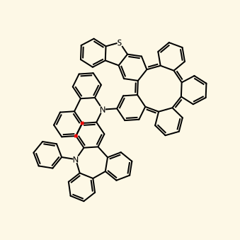 c1ccc(-c2ccccc2N(c2ccc3c(c2)-c2ccccc2-c2ccccc2N3c2ccccc2)c2ccc3c4ccccc4c4ccccc4c4ccccc4c4cc5sc6ccccc6c5cc4c3c2)cc1